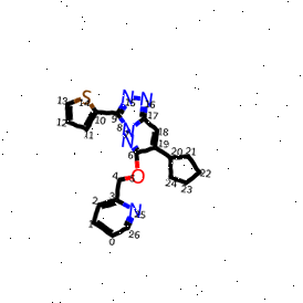 c1ccc(COc2nn3c(-c4cccs4)nnc3cc2C2CCCC2)nc1